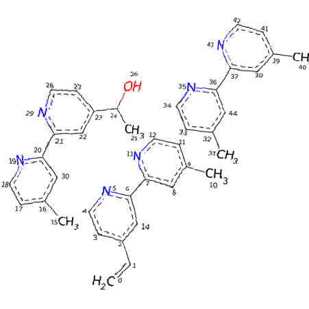 C=Cc1ccnc(-c2cc(C)ccn2)c1.Cc1ccnc(-c2cc(C(C)O)ccn2)c1.Cc1ccnc(-c2cc(C)ccn2)c1